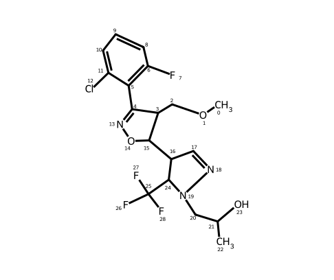 COCC1C(c2c(F)cccc2Cl)=NOC1C1C=NN(CC(C)O)C1C(F)(F)F